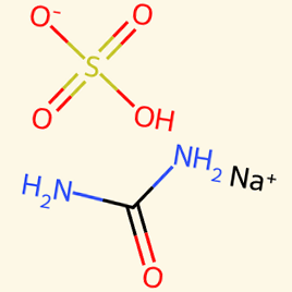 NC(N)=O.O=S(=O)([O-])O.[Na+]